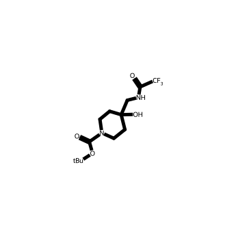 CC(C)(C)OC(=O)N1CCC(O)(CNC(=O)C(F)(F)F)CC1